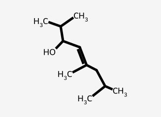 C/C(=C\C(O)C(C)C)CC(C)C